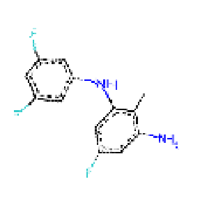 Cc1c(N)cc(F)cc1Nc1cc(F)cc(F)c1